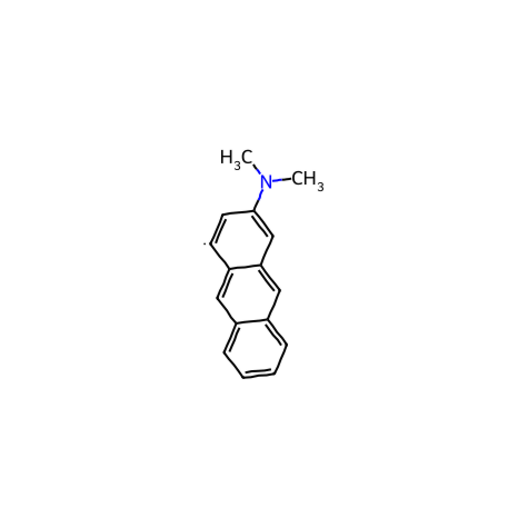 CN(C)c1c[c]c2cc3ccccc3cc2c1